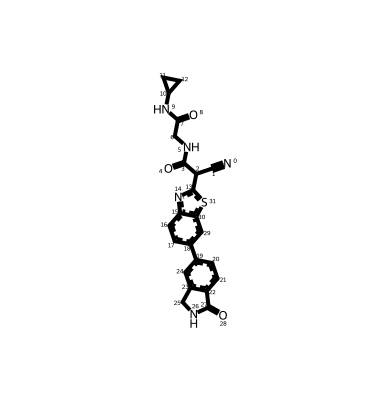 N#CC(C(=O)NCC(=O)NC1CC1)c1nc2ccc(-c3ccc4c(c3)CNC4=O)cc2s1